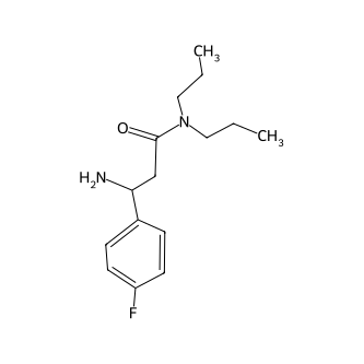 CCCN(CCC)C(=O)CC(N)c1ccc(F)cc1